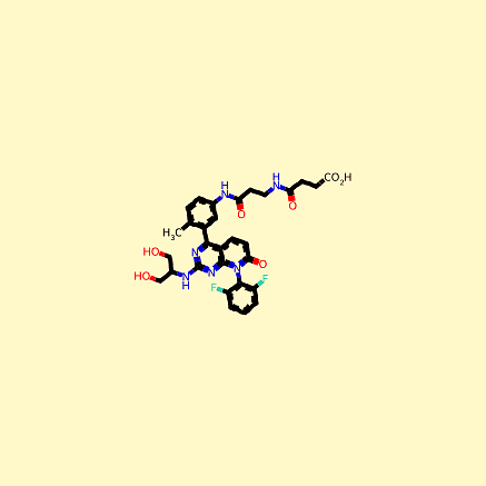 Cc1ccc(NC(=O)CCNC(=O)CCC(=O)O)cc1-c1nc(NC(CO)CO)nc2c1ccc(=O)n2-c1c(F)cccc1F